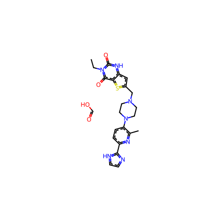 CCn1c(=O)[nH]c2cc(CN3CCN(c4ccc(-c5ncc[nH]5)nc4C)CC3)sc2c1=O.O=CO